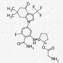 CC1(C)CC(=O)c2c(C(F)(F)F)cn(-c3cc(F)c(C(N)=O)c(N[C@H]4CCC[C@@H]4OC(=O)CN)c3)c2C1